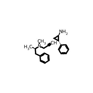 C#CCN(C)[C@H](C)Cc1ccccc1.N[C@@H]1C[C@H]1c1ccccc1